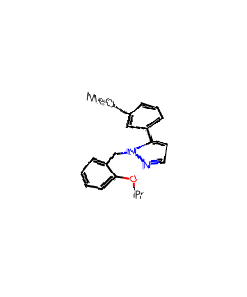 COc1cccc(-c2ccnn2Cc2ccccc2OC(C)C)c1